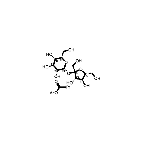 CC(=O)OC(=O)C(C)C.OC[C@H]1O[C@@](CO)(O[C@H]2O[C@H](CO)[C@@H](O)[C@H](O)[C@H]2O)[C@@H](O)[C@@H]1O